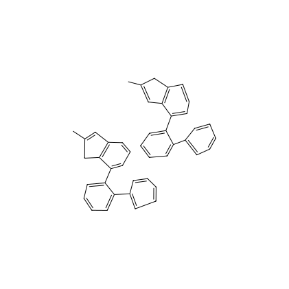 CC1=Cc2c(cccc2-c2ccccc2-c2ccccc2)C1.CC1=Cc2cccc(-c3ccccc3-c3ccccc3)c2C1